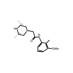 COc1cccc(NC(=O)CN2C[C@@H](C)N[C@@H](C)C2)c1C